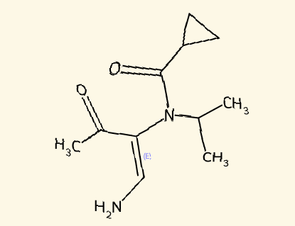 CC(=O)/C(=C\N)N(C(=O)C1CC1)C(C)C